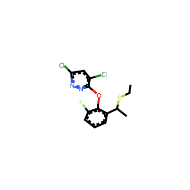 CCSC(C)c1cccc(F)c1Oc1nnc(Cl)cc1Cl